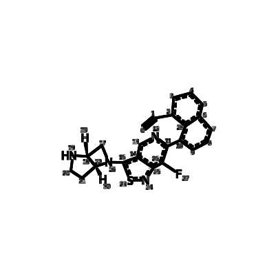 C#Cc1cccc2cccc(-c3ncc4c(N5C[C@H]6NCC[C@H]65)snc4c3F)c12